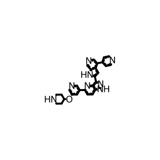 c1cc(-c2cncc3[nH]c(-c4n[nH]c5ccc(-c6cncc(OC7CCNCC7)c6)nc45)cc23)ccn1